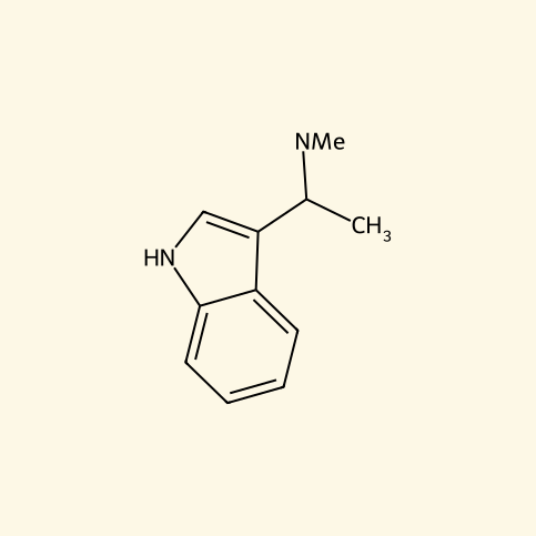 CNC(C)c1c[nH]c2ccccc12